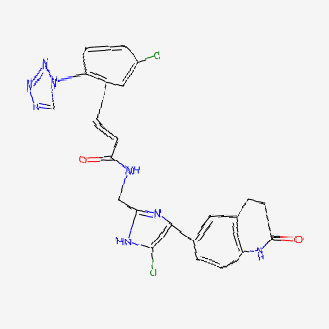 O=C(C=Cc1cc(Cl)ccc1-n1cnnn1)NCc1nc(-c2ccc3c(c2)CCC(=O)N3)c(Cl)[nH]1